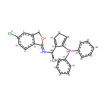 C[C@@H](/N=C1\OCc2cc(Cl)ccc21)C1=CCC=C1P(c1ccccc1)c1ccccc1